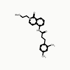 COCCn1ccc2c(NC(=O)CCc3ccc(C)cc3C)cccc2c1=O